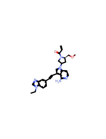 C=CC(=O)N1CC(n2cc(C#Cc3ccc4c(c3)ncn4CC)c3c(N)nccc32)C[C@@H]1COC